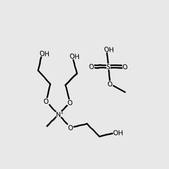 COS(=O)(=O)O.C[N+](OCCO)(OCCO)OCCO